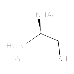 CC(=O)N[C@@H](CS)C(=O)O.[S]